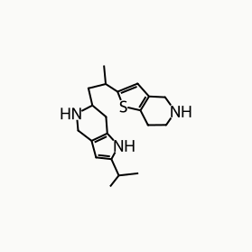 CC(C)c1cc2c([nH]1)CC(CC(C)c1cc3c(s1)CCNC3)NC2